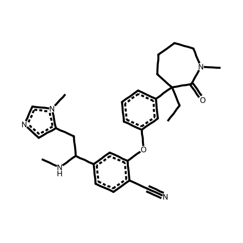 CCC1(c2cccc(Oc3cc(C(Cc4cncn4C)NC)ccc3C#N)c2)CCCCN(C)C1=O